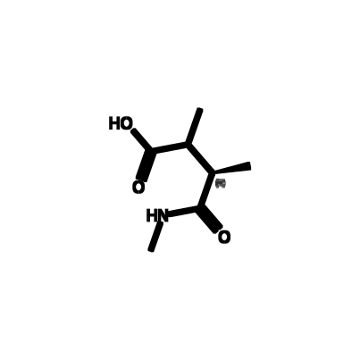 CNC(=O)[C@H](C)C(C)C(=O)O